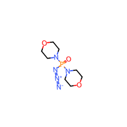 [N-]=[N+]=NP(=O)(N1CCOCC1)N1CCOCC1